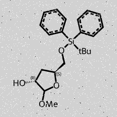 COC1O[C@H](CO[Si](c2ccccc2)(c2ccccc2)C(C)(C)C)C[C@H]1O